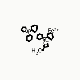 C=Cc1cc[c-](P(c2ccccc2)c2ccccc2)c1.[Fe+2].c1ccc(P(c2ccccc2)[c-]2cccc2)cc1